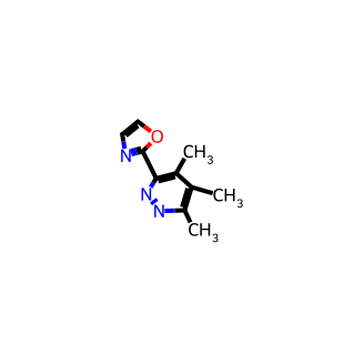 Cc1nnc(-c2ncco2)c(C)c1C